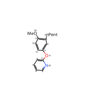 CCCCCc1cc(Oc2ccccn2)ccc1OC